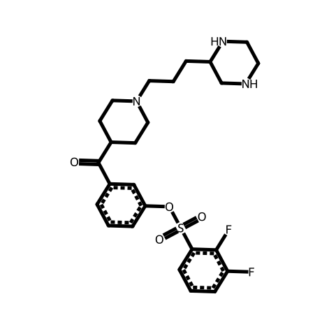 O=C(c1cccc(OS(=O)(=O)c2cccc(F)c2F)c1)C1CCN(CCCC2CNCCN2)CC1